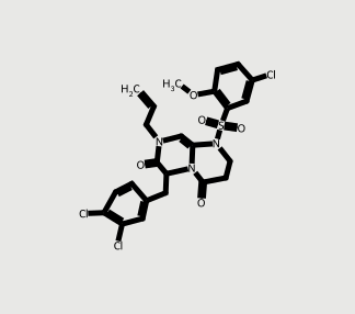 C=CCN1C=C2N(C(=O)CCN2S(=O)(=O)c2cc(Cl)ccc2OC)C(Cc2ccc(Cl)c(Cl)c2)C1=O